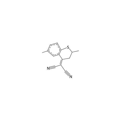 Cc1ccc2c(c1)C(=C(C#N)C#N)CC(C)S2